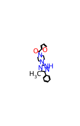 CC1N=C(N2CCN(C(=O)c3ccco3)CC2)NN=C1c1ccccc1